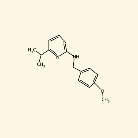 COc1ccc(CNc2nccc(C(C)C)n2)cc1